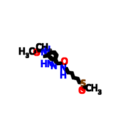 COC(C)n1cc2c(ccc3c(C(=O)NCCCCCCSC(C)=O)n[nH]c32)n1